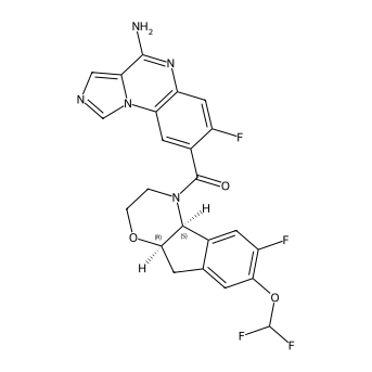 Nc1nc2cc(F)c(C(=O)N3CCO[C@@H]4Cc5cc(OC(F)F)c(F)cc5[C@@H]43)cc2n2cncc12